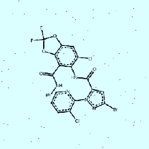 CC(C)NC(=O)c1c(NC(=O)c2cc(Br)nn2-c2ncccc2Cl)c(Cl)cc2c1OC(F)(F)O2